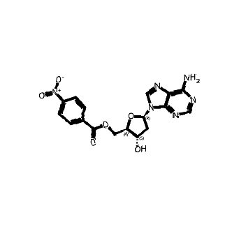 Nc1ncnc2c1ncn2[C@H]1C[C@H](O)[C@@H](COC(=O)c2ccc([N+](=O)[O-])cc2)O1